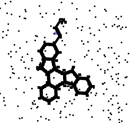 C/C=C/c1ccc2[nH]c3c4ccccc4c4c5ccccc5sc4c3c2c1